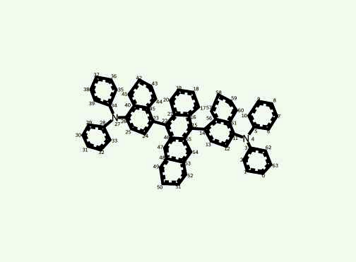 c1ccc(N(c2ccccc2)c2ccc(-c3c4ccccc4c(-c4ccc(N(c5ccccc5)c5ccccc5)c5ccccc45)c4cc5ccccc5cc34)c3ccccc23)cc1